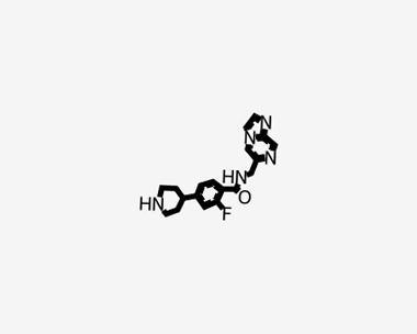 O=C(NCc1cn2ccnc2cn1)c1ccc(C2CCNCC2)cc1F